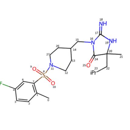 Cc1ccc(F)cc1S(=O)(=O)N1CCC(CN2C(=N)NC(C)(CC(C)C)C2=O)CC1